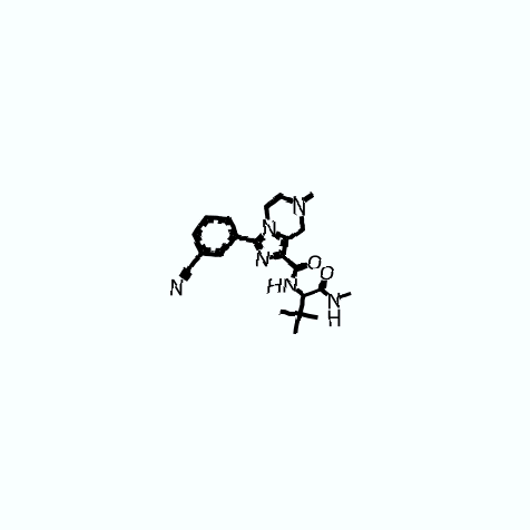 CNC(=O)C(NC(=O)c1nc(-c2cccc(C#N)c2)n2c1CN(C)CC2)C(C)(C)C